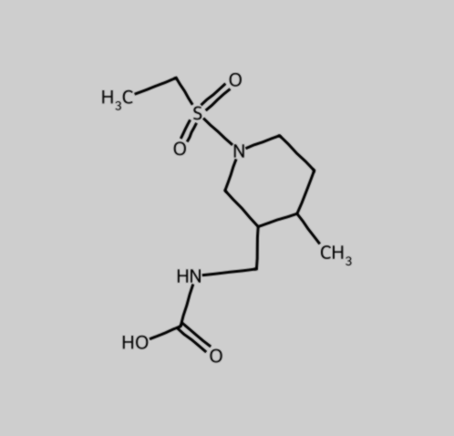 CCS(=O)(=O)N1CCC(C)C(CNC(=O)O)C1